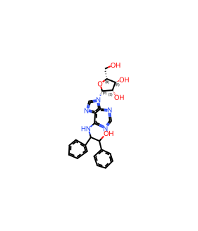 OC[C@H]1O[C@@H](n2cnc3c(NC(c4ccccc4)C(O)c4ccccc4)ncnc32)[C@@H](O)[C@H]1O